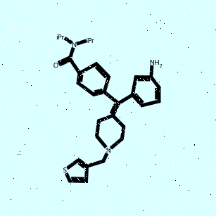 CC(C)N(C(=O)c1ccc(C(=C2CCN(Cc3ccsc3)CC2)c2cccc(N)c2)cc1)C(C)C